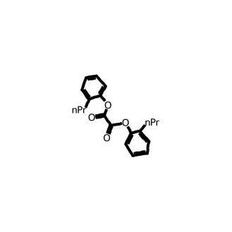 CCCc1ccccc1OC(=O)C(=O)Oc1ccccc1CCC